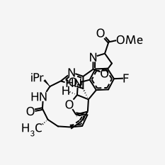 COC(=O)C1COC(c2nc3oc2[C@@]24c5cc(F)ccc5N[C@@H]2Oc2ccc(cc24)C[C@H](C)C(=O)N[C@H]3C(C)C)=N1